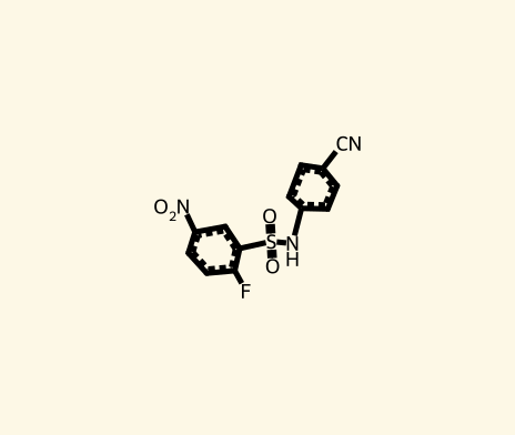 N#Cc1ccc(NS(=O)(=O)c2cc([N+](=O)[O-])ccc2F)cc1